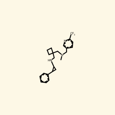 CN(Cc1ccc(C(F)(F)F)nc1)CC1(CNC2CC2c2ccccc2)CCC1